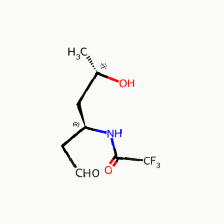 C[C@H](O)C[C@H](CC=O)NC(=O)C(F)(F)F